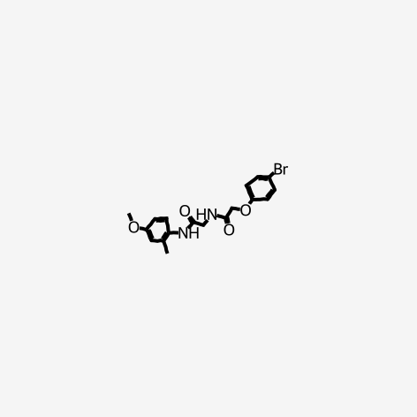 COc1ccc(NC(=O)CNC(=O)COc2ccc(Br)cc2)c(C)c1